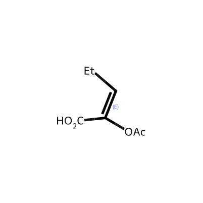 CC/C=C(/OC(C)=O)C(=O)O